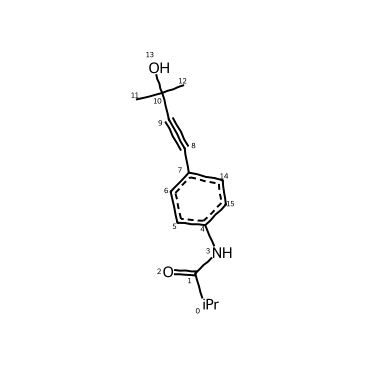 CC(C)C(=O)Nc1ccc(C#CC(C)(C)O)cc1